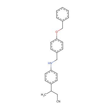 CC(CC#N)c1ccc(NCc2ccc(OCc3ccccc3)cc2)cc1